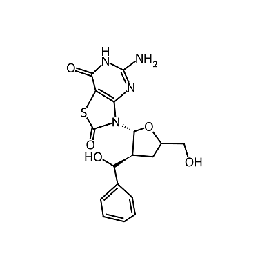 Nc1nc2c(sc(=O)n2[C@@H]2OC(CO)C[C@H]2C(O)c2ccccc2)c(=O)[nH]1